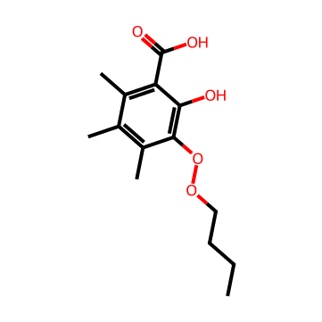 CCCCOOc1c(C)c(C)c(C)c(C(=O)O)c1O